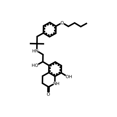 CCCCOc1ccc(CC(C)(C)NCC(O)c2ccc(O)c3c2CCC(=O)N3)cc1